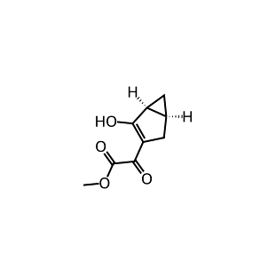 COC(=O)C(=O)C1=C(O)[C@H]2C[C@H]2C1